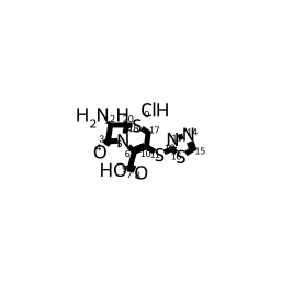 Cl.N[C@@H]1C(=O)N2C(C(=O)O)=C(Sc3nncs3)CS[C@@H]12